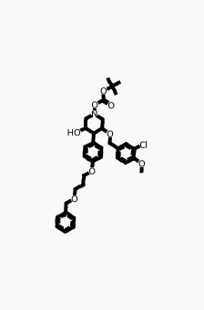 COc1ccc(COC2CN(OC(=O)OC(C)(C)C)CC(O)C2c2ccc(OCCCOCc3ccccc3)cc2)cc1Cl